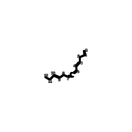 C=CCC=CC=C=CCC=CCC